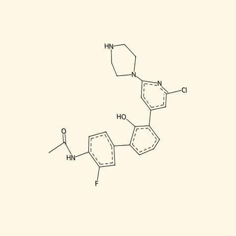 CC(=O)Nc1ccc(-c2cccc(-c3cc(Cl)nc(N4CCNCC4)c3)c2O)cc1F